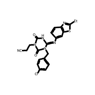 CCc1nc2ccc(/N=c3\[nH]c(=O)n(CCC#N)c(=O)n3Cc3ccc(Cl)cc3)cc2s1